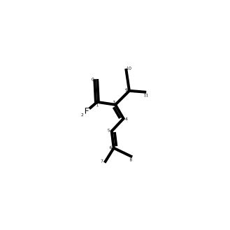 C=C(F)/C(=C\C=C(C)C)C(C)C